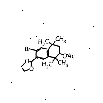 CC(=O)OC1CC(C)(C)c2cc(Br)c(C3OCCO3)cc2C1(C)C